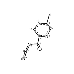 Cc1cnc(C(=O)N=[N+]=[N-])cn1